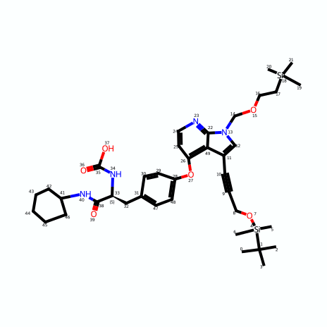 CC(C)(C)[Si](C)(C)OCC#Cc1cn(COCC[Si](C)(C)C)c2nccc(Oc3ccc(C[C@H](NC(=O)O)C(=O)NC4CCCCC4)cc3)c12